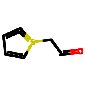 O=[C]CS1=C=CC=C1